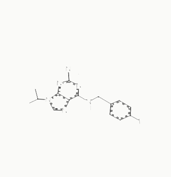 CC(C)n1cnc2c(NCc3ccc(F)cc3)nc(N)nc21